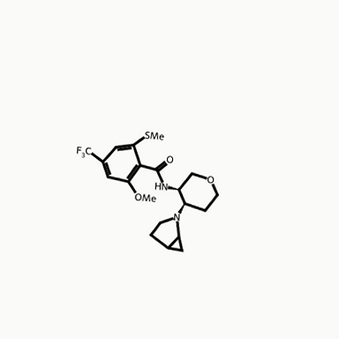 COc1cc(C(F)(F)F)cc(SC)c1C(=O)N[C@H]1COCC[C@H]1N1CCC2CC21